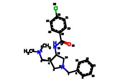 CN(C)C[C@@H]1CN(Cc2ccccc2)CC1NC(=O)c1ccc(Cl)cc1